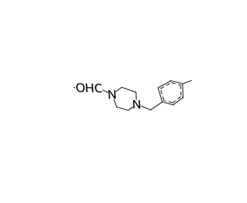 Cc1ccc(CN2CCN([C]=O)CC2)cc1